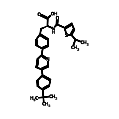 CC(C)c1ccc(C(=O)N[C@@H](Cc2ccc(-c3ccc(-c4ccc(C(C)(C)C)cc4)cn3)cc2)C(=O)O)s1